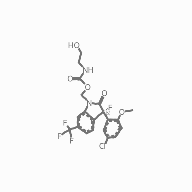 COc1ccc(Cl)cc1[C@]1(F)C(=O)N(COC(=O)NCCO)c2cc(C(F)(F)F)ccc21